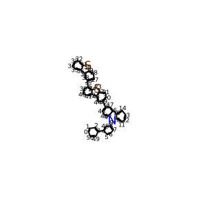 c1ccc(-c2cccc(-n3c4ccccc4c4cc(-c5ccc6sc7c(-c8ccc9sc%10ccccc%10c9c8)cccc7c6c5)ccc43)c2)cc1